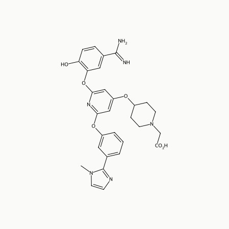 Cn1ccnc1-c1cccc(Oc2cc(OC3CCN(CC(=O)O)CC3)cc(Oc3cc(C(=N)N)ccc3O)n2)c1